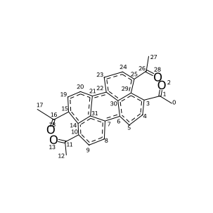 CC(=O)c1ccc2c3ccc(C(C)=O)c4c(C(C)=O)ccc(c5ccc(C(C)=O)c1c25)c43